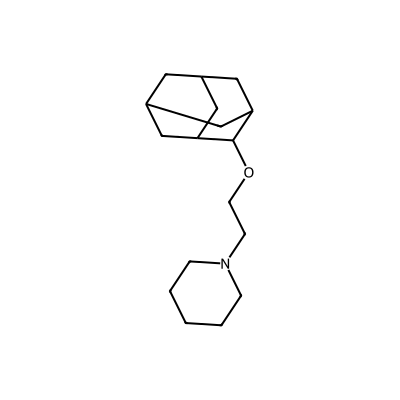 C1CCN(CCOC2C3CC4CC(C3)CC2C4)CC1